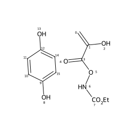 C=C(O)C(=O)ONC(=O)OCC.Oc1ccc(O)cc1